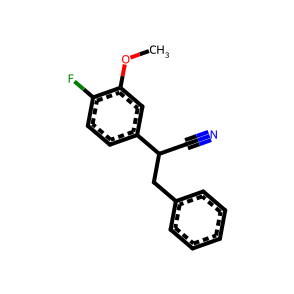 COc1cc(C(C#N)Cc2ccccc2)ccc1F